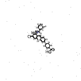 Cc1cc(/C(C[C@H](c2ccc([C@H]3CC[C@@H](C(=O)O)CC3)cc2)c2ccc(Cl)cc2C)=N/O)ccn1